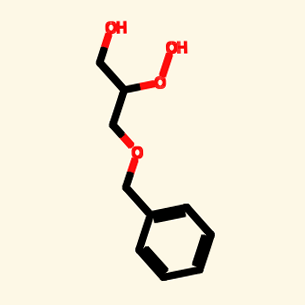 OCC(COCc1ccccc1)OO